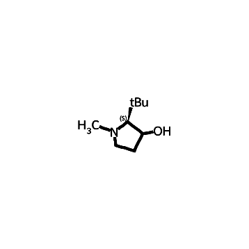 CN1CCC(O)[C@@H]1C(C)(C)C